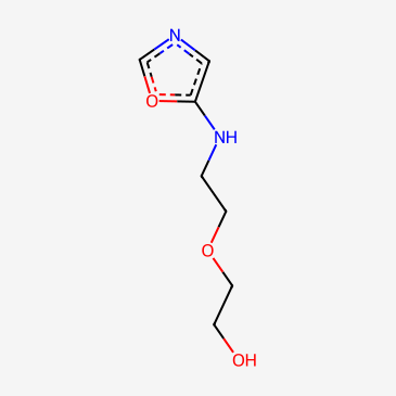 OCCOCCNc1cnco1